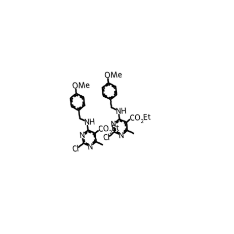 CCOC(=O)c1c(C)nc(Cl)nc1NCc1ccc(OC)cc1.CCOC(=O)c1c(C)nc(Cl)nc1NCc1ccc(OC)cc1